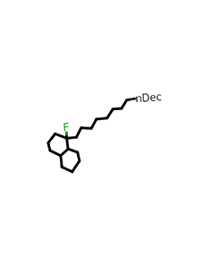 CCCCCCCCCCCCCCCCCCC1(F)CCCC2CCCCC21